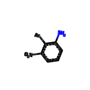 CC(=O)c1c(N)cccc1[N+](=O)[O-]